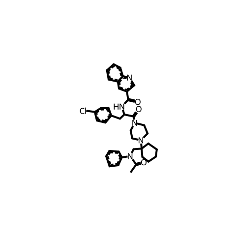 CC(=O)N(CC1(N2CCN(C(=O)C(Cc3ccc(Cl)cc3)NC(=O)c3cnc4ccccc4c3)CC2)CCCCC1)c1ccccc1